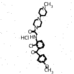 COc1ccc(C(=O)c2cccc(NCC(=O)N3CCN(C4CCN(C)CC4)CC3)c2Cl)cc1.Cl